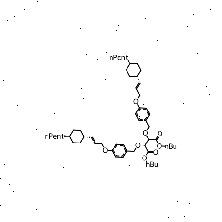 CCCCC[C@H]1CC[C@H](/C=C/COc2ccc(CO[C@@H](C(=O)OCCCC)[C@@H](OCc3ccc(OC/C=C/[C@H]4CC[C@H](CCCCC)CC4)cc3)C(=O)OCCCC)cc2)CC1